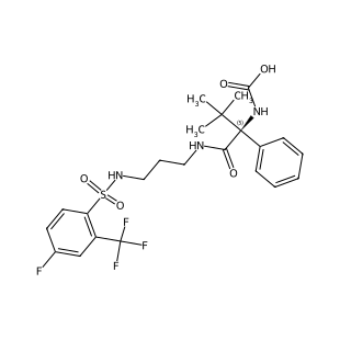 CC(C)(C)[C@@](NC(=O)O)(C(=O)NCCCNS(=O)(=O)c1ccc(F)cc1C(F)(F)F)c1ccccc1